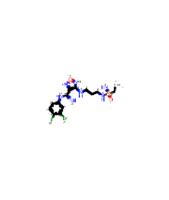 CCS(=N)(=O)NCCCNc1nonc1C(=N)Nc1ccc(F)c(Br)c1